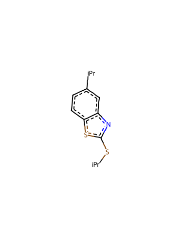 CC(C)Sc1nc2cc(C(C)C)ccc2s1